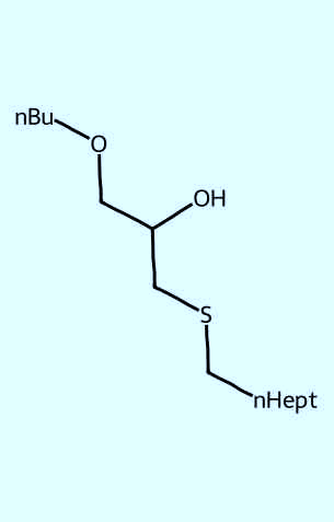 CCCCCCCCSCC(O)COCCCC